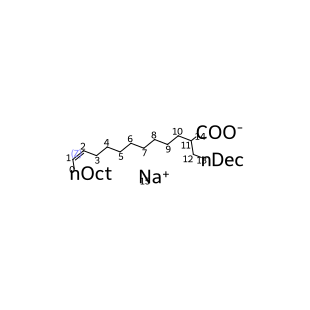 CCCCCCCC/C=C\CCCCCCCCC(CCCCCCCCCCC)C(=O)[O-].[Na+]